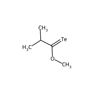 COC(=[Te])C(C)C